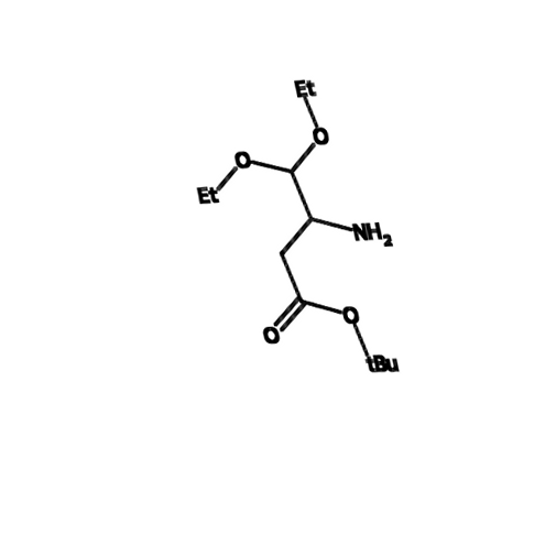 CCOC(OCC)C(N)CC(=O)OC(C)(C)C